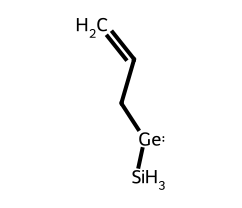 C=C[CH2][Ge][SiH3]